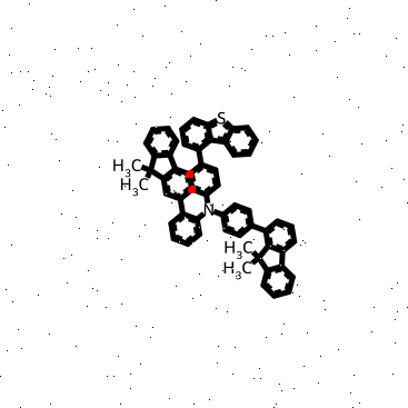 CC1(C)c2ccccc2-c2ccc(-c3ccccc3N(c3ccc(-c4cccc5c4C(C)(C)c4ccccc4-5)cc3)c3ccc(-c4cccc5sc6ccccc6c45)cc3)cc21